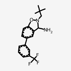 CC(C)(C)CN1Oc2ccc(-c3cccc(C(F)(F)F)c3)cc2C1N